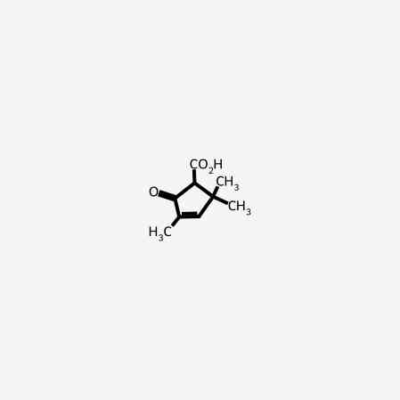 CC1=CC(C)(C)C(C(=O)O)C1=O